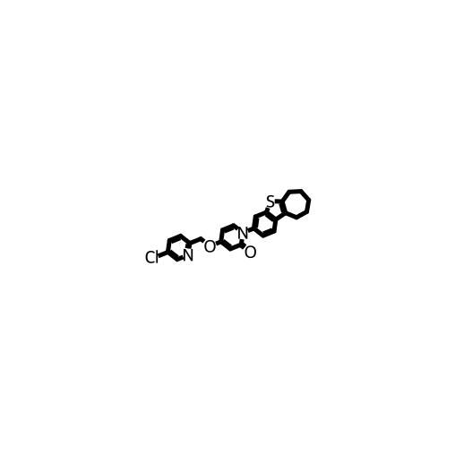 O=c1cc(OCc2ccc(Cl)cn2)ccn1-c1ccc2c3c(sc2c1)CCCCC3